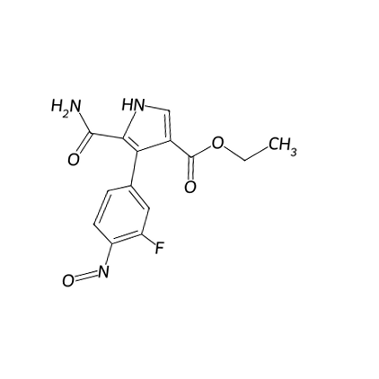 CCOC(=O)c1c[nH]c(C(N)=O)c1-c1ccc(N=O)c(F)c1